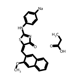 CCC(=O)O.COc1cc2ccccc2cc1C=C1SC(Nc2cc[c]([Na])cc2)=NC1=O